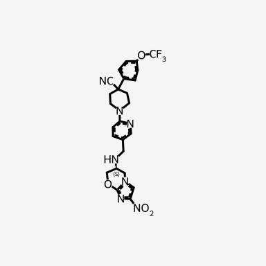 N#CC1(c2ccc(OC(F)(F)F)cc2)CCN(c2ccc(CN[C@@H]3COc4nc([N+](=O)[O-])cn4C3)cn2)CC1